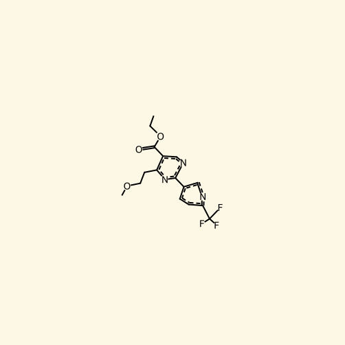 CCOC(=O)c1cnc(-c2ccc(C(F)(F)F)nc2)nc1CCOC